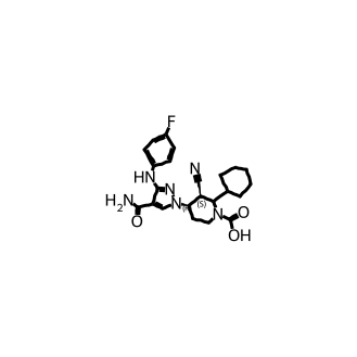 N#C[C@H]1C(C2CCCCC2)N(C(=O)O)CC[C@H]1n1cc(C(N)=O)c(Nc2ccc(F)cc2)n1